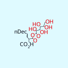 CCCCCCCCCCC=CC(CC(=O)O)C(=O)OC(=O)[C@H](O)[C@@H](O)[C@H](O)[C@H](O)CO